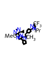 COc1ncnc(C2CC2)c1-c1ncc2c3ccccc3n([C@H](C)Cc3ccc(-c4nc(C(F)(F)F)cn4C(C)C)cc3)c2n1